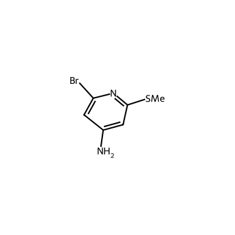 CSc1cc(N)cc(Br)n1